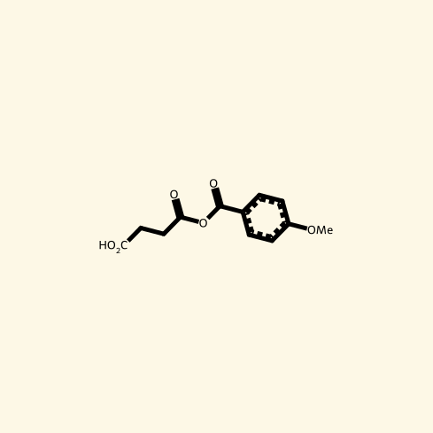 COc1ccc(C(=O)OC(=O)CCC(=O)O)cc1